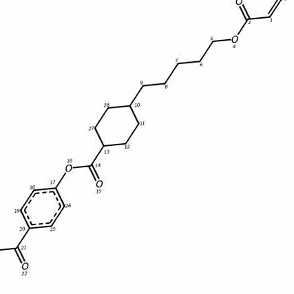 C=CC(=O)OCCCCCC1CCC(C(=O)Oc2ccc(C(=O)C=C)cc2)CC1